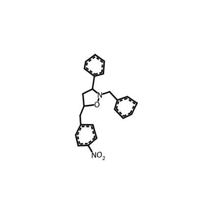 O=[N+]([O-])c1ccc(CC2CC(c3ccccc3)N(Cc3ccccc3)O2)cc1